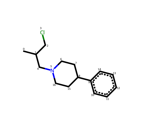 CC(CCl)CN1CCC(c2ccccc2)CC1